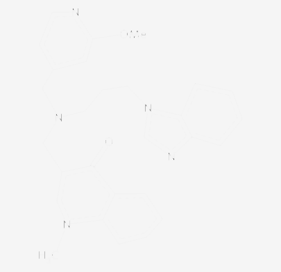 COc1cc(CN(CCCn2cnc3ccccc32)Cc2cn(C)c3ccccc3c2=O)ccn1